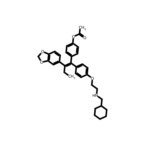 CCC(=C(c1ccc(OCCNCC2CCCCC2)cc1)c1ccc(OC(C)=O)cc1)c1ccc2c(c1)OCO2